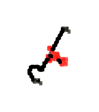 CCCCC/C=C\C/C=C\C/C=C\C/C=C\CCCCCC(=O)O[C@H](COC(=O)CCCCCCCCCCCC)COP(=O)(O)OC[C@@H](O)CO